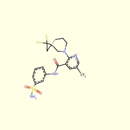 NS(=O)(=O)c1cccc(NC(=O)c2cc(C(F)(F)F)cnc2N2CCC[C@]3(C2)CC3(F)F)c1